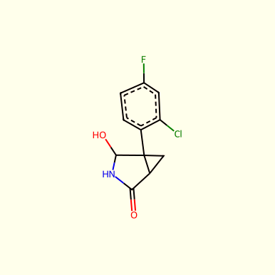 O=C1NC(O)C2(c3ccc(F)cc3Cl)CC12